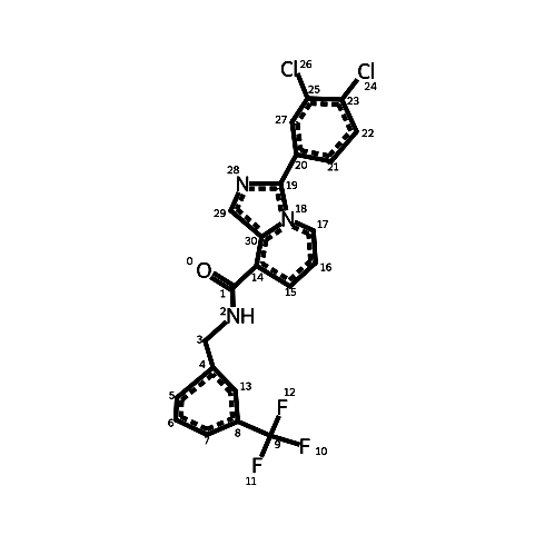 O=C(NCc1cccc(C(F)(F)F)c1)c1cccn2c(-c3ccc(Cl)c(Cl)c3)ncc12